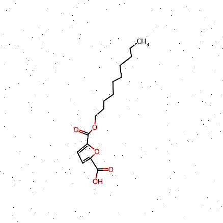 CCCCCCCCCCOC(=O)c1ccc(C(=O)O)o1